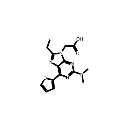 CCc1nc2c(-c3ccco3)nc(N(C)C)nc2n1CC(=O)O